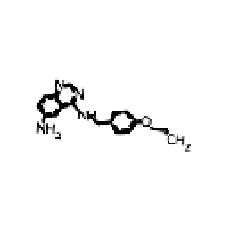 C=CCOc1ccc(CCNc2ncnc3ccc(N)cc23)cc1